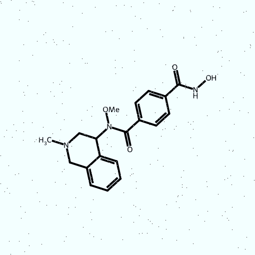 CON(C(=O)c1ccc(C(=O)NO)cc1)C1CN(C)Cc2ccccc21